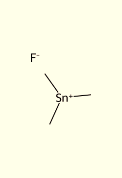 [CH3][Sn+]([CH3])[CH3].[F-]